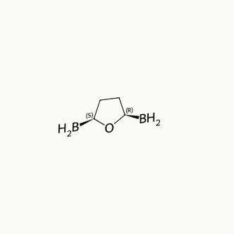 B[C@@H]1CC[C@H](B)O1